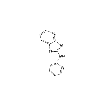 c1ccc(Nc2nc3ncccc3o2)nc1